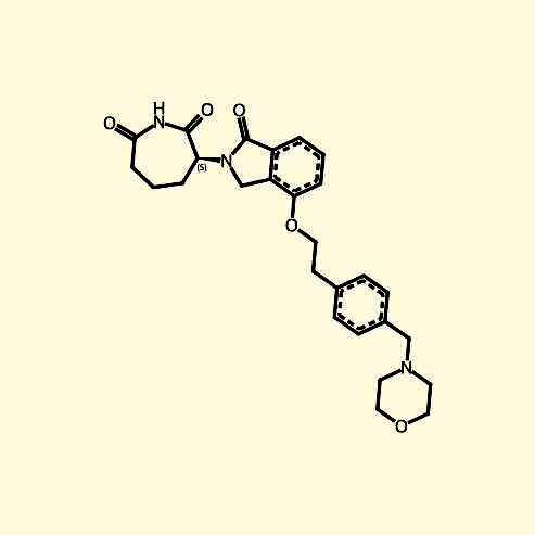 O=C1CCC[C@H](N2Cc3c(OCCc4ccc(CN5CCOCC5)cc4)cccc3C2=O)C(=O)N1